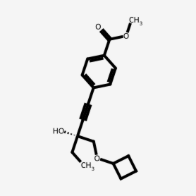 CC[C@@](O)(C#Cc1ccc(C(=O)OC)cc1)COC1CCC1